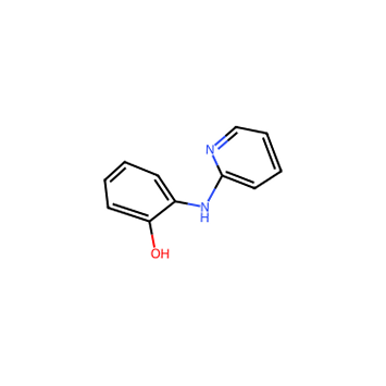 Oc1ccccc1Nc1ccccn1